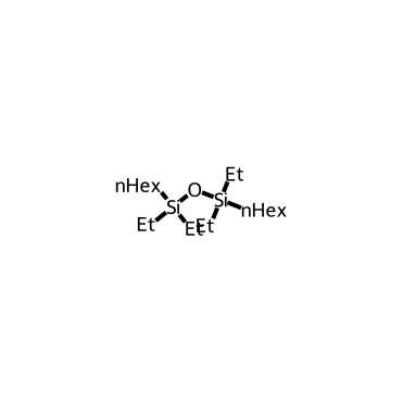 CCCCCC[Si](CC)(CC)O[Si](CC)(CC)CCCCCC